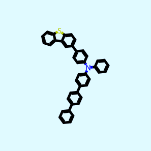 c1ccc(-c2ccc(-c3ccc(N(c4ccccc4)c4ccc(-c5ccc6sc7ccccc7c6c5)cc4)cc3)cc2)cc1